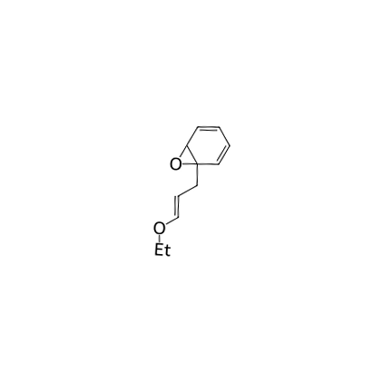 CCOC=CCC12C=CC=CC1O2